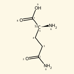 NC(=O)CC[12C@H](N)C(=O)O